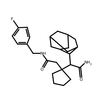 NC(=O)C(C1C2CC3CC(C2)CC1C3)C1(CC(=O)NCc2ccc(F)cc2)CCCC1